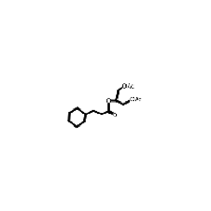 CC(=O)OCC(COC(C)=O)OC(=O)CCC1CCCCC1